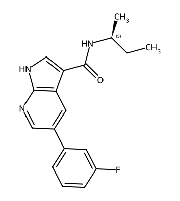 CC[C@H](C)NC(=O)c1c[nH]c2ncc(-c3cccc(F)c3)cc12